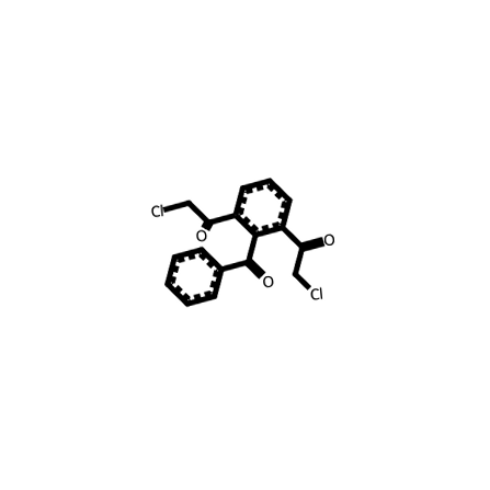 O=C(CCl)c1cccc(C(=O)CCl)c1C(=O)c1ccccc1